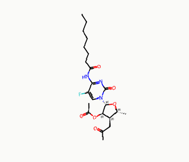 CCCCCCCC(=O)Nc1nc(=O)n([C@@H]2O[C@H](C)[C@@H](CC(C)=O)[C@H]2OC(C)=O)cc1F